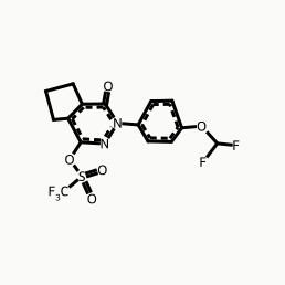 O=c1c2c(c(OS(=O)(=O)C(F)(F)F)nn1-c1ccc(OC(F)F)cc1)CCC2